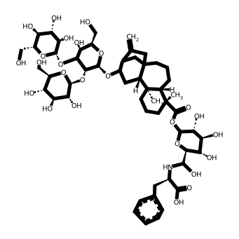 C=C1CC23CCC[C@H]4[C@@](C)(CCC[C@@]4(C)C(=O)OC4O[C@H](C(O)N[C@H](Cc5ccccc5)C(=O)O)[C@@H](O)[C@H](O)[C@H]4O)[C@@H]2CC(O[C@@H]2O[C@H](CO)[C@@H](O)C(O[C@@H]4O[C@H](CO)[C@@H](O)[C@H](O)[C@H]4O)[C@H]2O[C@@H]2O[C@H](CO)[C@@H](O)[C@H](O)[C@H]2O)C1C3